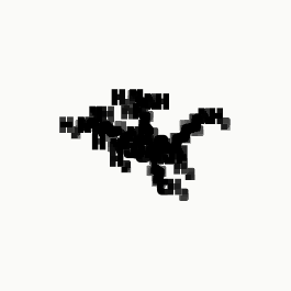 CCCC[C@H](NC(=O)[C@@H](N)CCCCCN)C(=O)N[C@@H](CCCNC(=N)N)C(=O)N[C@@H](CCCNC(=N)N)C(N)=O